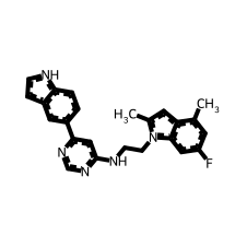 Cc1cc(F)cc2c1cc(C)n2CCNc1cc(-c2ccc3[nH]ccc3c2)ncn1